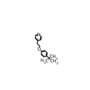 CC(C)(C)c1ccc(OCCc2ccncc2)cc1